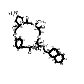 CN1CC(=O)N2C[C@H](N)C[C@H]2COc2ccc(cc2)C(=O)N(C)[C@H](C(=O)NCc2ccc3ccccc3c2)CCC1=O